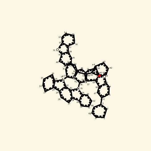 c1ccc(-c2ccc3oc4ccc(-c5cccc(-n6c7ccccc7c7ccc8c9ccccc9n(-c9nc(-c%10ccccc%10)cc(-c%10ccc%11oc%12ccccc%12c%11c%10)n9)c8c76)n5)cc4c3c2)cc1